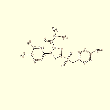 COc1ccc(CS(=O)(=O)[C@@H]2C[C@@H](C(=O)NC(C(C)C)C(O)C(F)(F)F)N(C(=O)C(C)N)C2)cc1